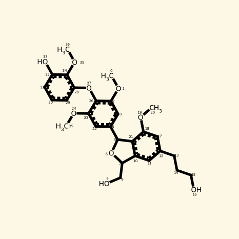 COc1cc(C2OC(CO)c3cc(CCCO)cc(OC)c32)cc(OC)c1Oc1[c]ccc(O)c1OC